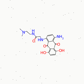 CN(C)CCNC(=O)CNc1ccc(N)c2c1C(=O)c1c(O)ccc(O)c1C2=O